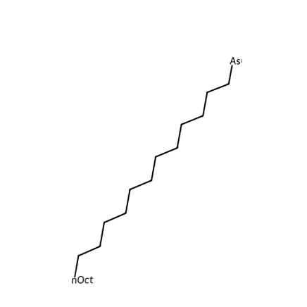 CCCCCCCCCCCCCCCCCCCC[As]